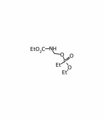 CCOC(=O)NCOP(=O)(CC)OCC